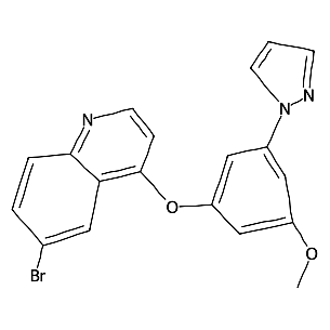 COc1cc(Oc2ccnc3ccc(Br)cc23)cc(-n2cccn2)c1